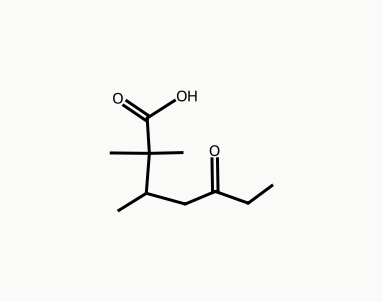 CCC(=O)CC(C)C(C)(C)C(=O)O